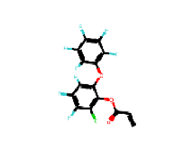 C=CC(=O)Oc1c(Cl)c(F)c(F)c(F)c1Oc1c(F)c(F)c(F)c(F)c1F